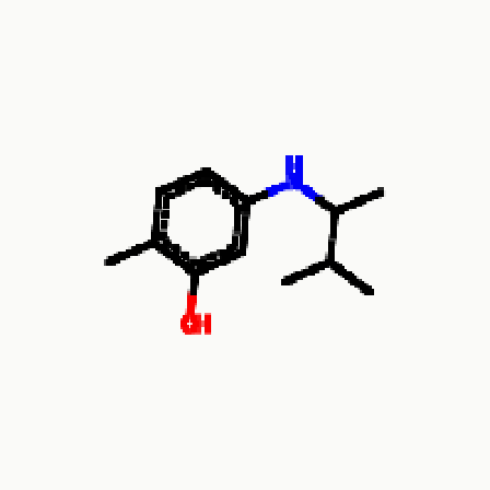 Cc1ccc(NC(C)C(C)C)cc1O